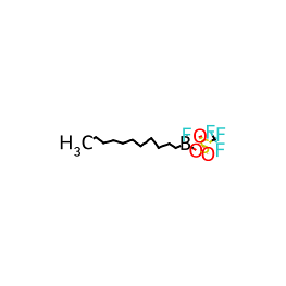 CCCCCCCCCCCB(F)OS(=O)(=O)C(F)(F)F